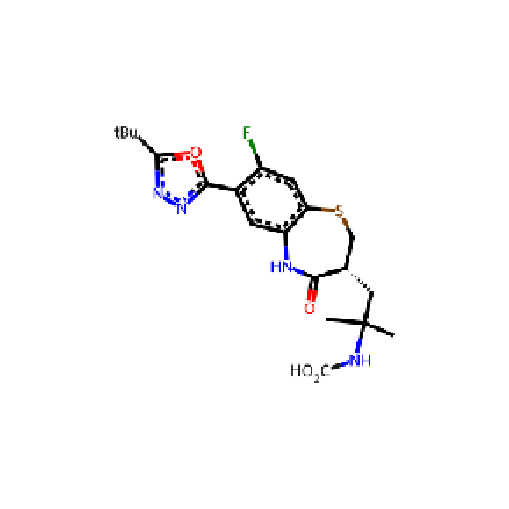 CC(C)(C[C@H]1CSc2cc(F)c(-c3nnc(C(C)(C)C)o3)cc2NC1=O)NC(=O)O